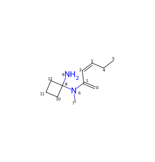 C=C(/C=C\CC)N(C)C1(N)CCC1